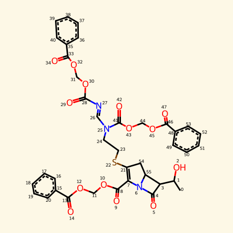 CC(O)C1C(=O)N2C(C(=O)OCOC(=O)c3ccccc3)=C(SCCN(/C=N/C(=O)OCOC(=O)c3ccccc3)C(=O)OCOC(=O)c3ccccc3)CC12